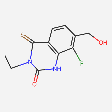 CCn1c(=O)[nH]c2c(F)c(CO)ccc2c1=S